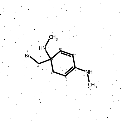 CNC1=CCC(CBr)(NC)C=C1